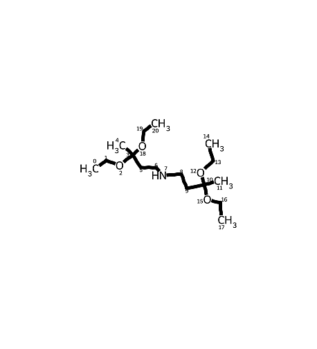 CCOC(C)(CCNCCC(C)(OCC)OCC)OCC